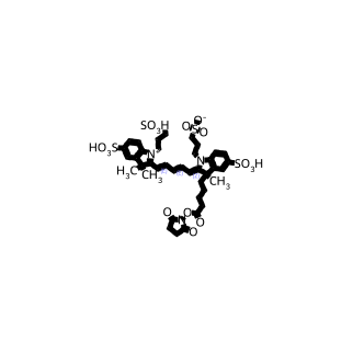 CC1(C)C(/C=C/C=C/C=C2\N(CCCS(=O)(=O)[O-])c3ccc(S(=O)(=O)O)cc3C2(C)CCCCC(=O)ON2C(=O)CCC2=O)=[N+](CCCS(=O)(=O)O)c2ccc(S(=O)(=O)O)cc21